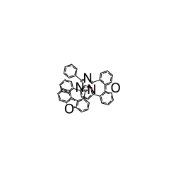 c1ccc(-c2ccc(-c3cccc4oc5cccc(-c6nc(-c7ccccc7)nc(-c7cccc8oc9ccccc9c78)n6)c5c34)cc2)cc1